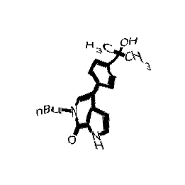 CCCCn1cc(-c2ccc(C(C)(C)O)cc2)c2cc[nH]c2c1=O